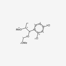 COCOC(c1ccc(Cl)cc1Cl)C(C)OC